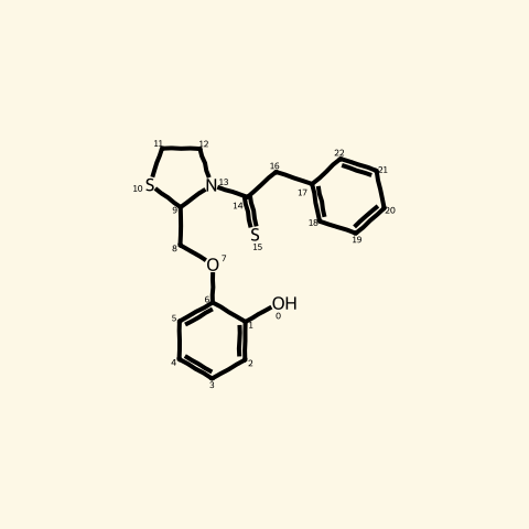 Oc1ccccc1OCC1SCCN1C(=S)Cc1ccccc1